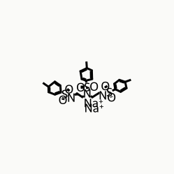 Cc1ccc(S(=O)(=O)[N-]CCN(CC[N-]S(=O)(=O)c2ccc(C)cc2)S(=O)(=O)c2ccc(C)cc2)cc1.[Na+].[Na+]